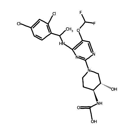 CC(Nc1nc(N2CC[C@H](NC(=O)O)[C@@H](O)C2)ncc1OC(F)F)c1ccc(Cl)cc1Cl